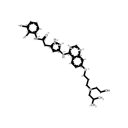 CC(C)CN(CCO)CCCOc1ccc2c(Nc3cc(CC(=O)Nc4cccc(F)c4F)[nH]n3)ncnc2c1